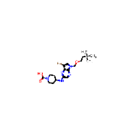 C[Si](C)(C)CCOCn1cc(Br)c2nc(NC3CCN(C(=O)O)CC3)cnc21